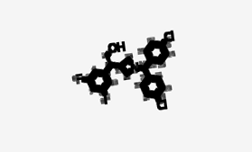 OC[C@H](c1cc(F)cc(F)c1)C1CN(C(c2ccc(Cl)cc2)c2ccc(Cl)cc2)C1